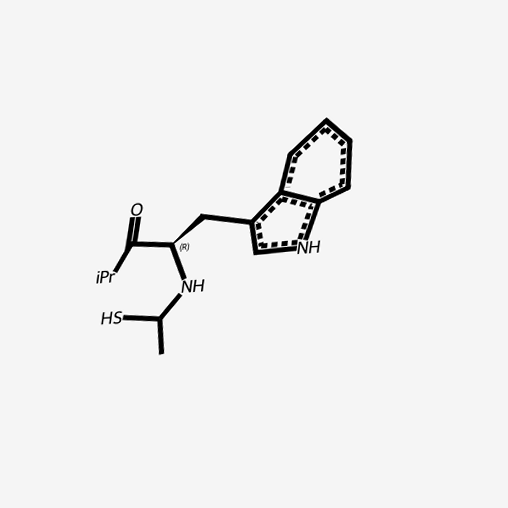 CC(S)N[C@H](Cc1c[nH]c2ccccc12)C(=O)C(C)C